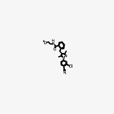 COCCNC(=O)c1ccccc1Cc1c(C)nn(-c2ccc(C#N)c(Cl)c2)c1C